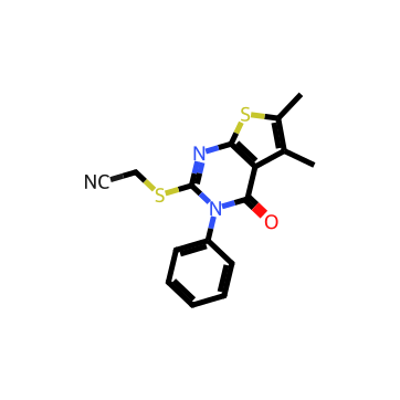 Cc1sc2nc(SCC#N)n(-c3ccccc3)c(=O)c2c1C